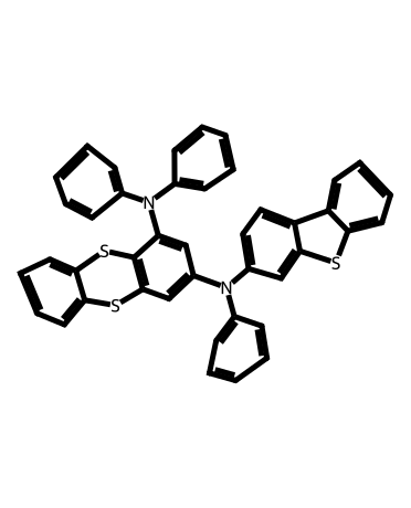 c1ccc(N(c2cc3c(c(N(c4ccccc4)c4ccccc4)c2)Sc2ccccc2S3)c2ccc3c(c2)sc2ccccc23)cc1